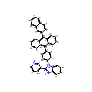 c1cncc(-c2nc3ccccc3n2-c2ccc(-c3c4ccccc4c(-c4ccc5ccccc5c4)c4ccccc34)cc2)c1